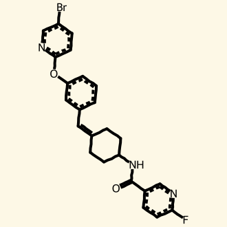 O=C(NC1CCC(=Cc2cccc(Oc3ccc(Br)cn3)c2)CC1)c1ccc(F)nc1